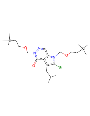 CC(C)Cc1c(Br)n(COCC[Si](C)(C)C)c2cnn(COCC[Si](C)(C)C)c(=O)c12